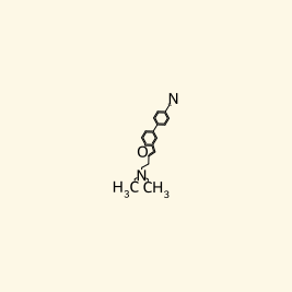 CCN(CC)CCc1cc2cc(-c3ccc(C#N)cc3)ccc2o1